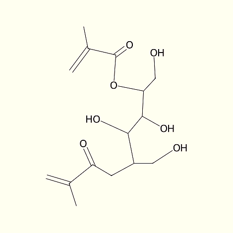 C=C(C)C(=O)CC(CO)C(O)C(O)C(CO)OC(=O)C(=C)C